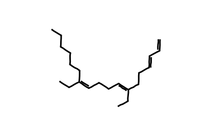 C=CC=CCCC(=CCCC=C(CC)CCCCCC)CC